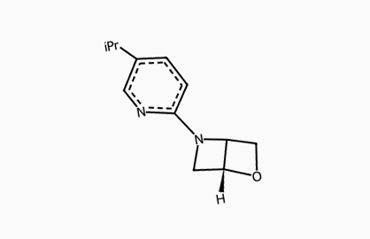 CC(C)c1ccc(N2C[C@H]3OCC32)nc1